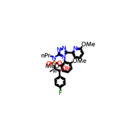 CCCN(c1nnc(-c2cccc(OC)n2)n1-c1c(OC)cccc1OC)S(=O)(=O)[C@H](C)[C@H](O)c1ccc(F)cc1